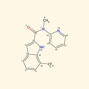 CN(C(=O)c1cc2cccc(C(F)(F)F)c2[nH]1)c1ccccn1